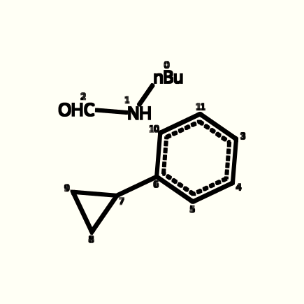 CCCCNC=O.c1ccc(C2CC2)cc1